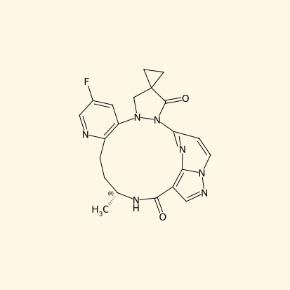 C[C@@H]1CCc2ncc(F)cc2N2CC3(CC3)C(=O)N2c2ccn3ncc(c3n2)C(=O)N1